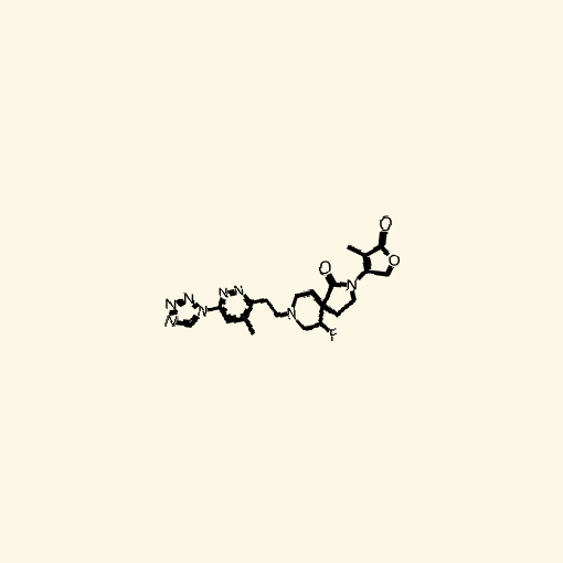 CC1=C(N2CCC3(CCN(CCc4nnc(-n5cnnn5)cc4C)CC3F)C2=O)COC1=O